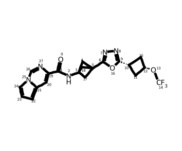 O=C(NC12CC(c3nnc([C@H]4C[C@@H](OC(F)(F)F)C4)o3)(C1)C2)c1cc2cccn2cn1